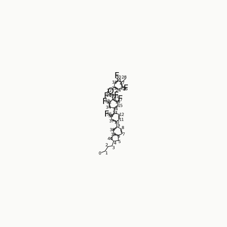 CCCCC1Cc2ccc(-c3ccc(-c4cc(F)c(C(F)(F)Oc5cc(F)c(C)c(F)c5)c(F)c4)c(F)c3)cc2C1